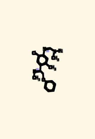 CCN(C)/C=N\c1cc(C)c(/C(COc2ccccc2)=N/C)cc1Cl